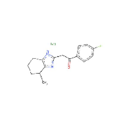 CC1CCCc2[nH]c(CC(=O)c3ccc(F)cc3)nc21.Cl